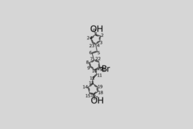 Oc1ccc(C=Cc2ccc(C=Cc3ccc(O)cc3)c(Br)c2)cc1